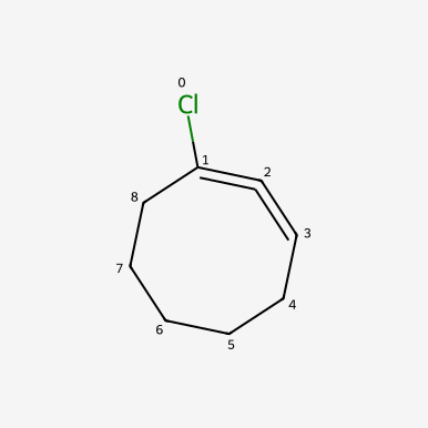 ClC1=C=CCCCCC1